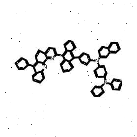 c1ccc(-c2c3ccccc3nc3c2ccc2ccc(-c4c5ccccc5c(-c5ccc(N(c6ccc(N(c7ccccc7)c7ccccc7)cc6)c6ccc7ccccc7c6)cc5)c5ccccc45)nc23)cc1